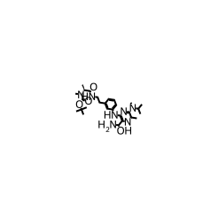 Cc1nc(C(N)O)c(Nc2cccc(CCNC(=O)[C@H](C)N(C)C(=O)OC(C)(C)C)c2)nc1N(C)C(C)C